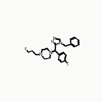 FCCCN1CCN(C(c2ccc(F)cc2)c2nncn2Cc2ccccc2)CC1